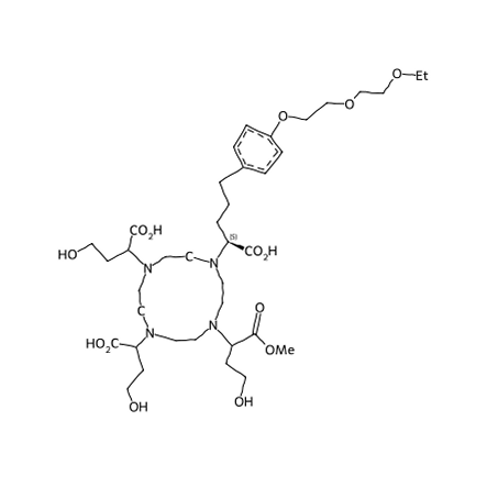 CCOCCOCCOc1ccc(CCC[C@@H](C(=O)O)N2CCN(C(CCO)C(=O)O)CCN(C(CCO)C(=O)O)CCN(C(CCO)C(=O)OC)CC2)cc1